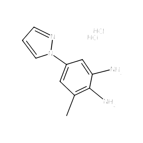 Cc1cc(-n2cccn2)cc(N)c1N.Cl.Cl